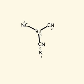 N#[C][Ru]([C]#N)[C]#N.[K]